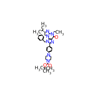 CCN1C(=O)c2nc(-c3ccc(N4CCN(C(=O)OC(C)(C)C)CC4)cc3)n(Cc3ccccc3)c2N2C[C@@H](C(C)C)N=C12